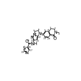 CN1CCc2cc(N3CCn4nc(NC(=O)c5cncs5)cc43)ccc2C1=O